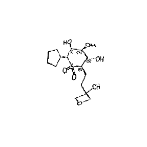 O=S1(=O)C(C2CCCC2)[C@@H](O)[C@@H](O)[C@H](O)[C@H]1CCC1(O)COC1